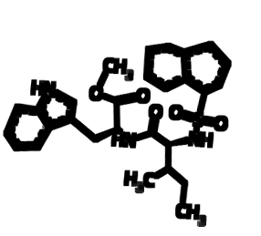 CCC(C)[C@H](NS(=O)(=O)c1cccc2ccccc12)C(=O)N[C@@H](Cc1c[nH]c2ccccc12)C(=O)OC